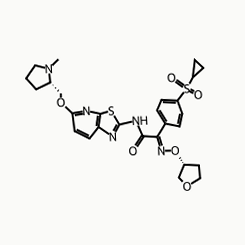 CN1CCC[C@H]1COc1ccc2nc(NC(=O)/C(=N/O[C@@H]3CCOC3)c3ccc(S(=O)(=O)C4CC4)cc3)sc2n1